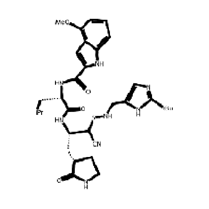 COc1cccc2[nH]c(C(=O)N[C@@H](CC(C)C)C(=O)N[C@@H](C[C@@H]3CCNC3=O)C(C#N)SNCc3cnc(C(C)(C)C)[nH]3)cc12